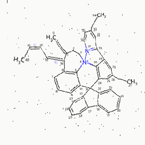 C=C1CC[N+]23c4c(cccc4C4(c5ccccc5-c5ccccc54)c4cc(C)cc(c42)-c2cc(C)cc[n+]23)/C1=C/C=C\C